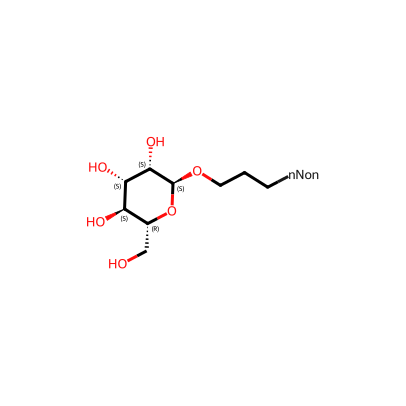 CCCCCCCCCCCCO[C@H]1O[C@H](CO)[C@@H](O)[C@H](O)[C@@H]1O